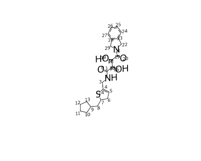 O=C(NCC1=CCC(CC2CCCC2)S1)[C@H](O)[C@@H](O)C(=O)N1Cc2ccccc2C1